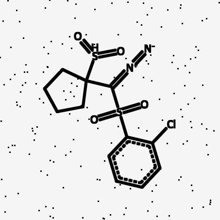 [N-]=[N+]=C(C1([SH](=O)=O)CCCC1)S(=O)(=O)c1ccccc1Cl